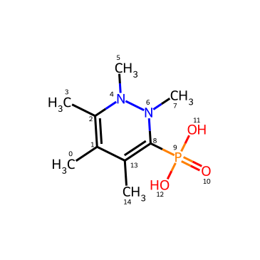 CC1=C(C)N(C)N(C)C(P(=O)(O)O)=C1C